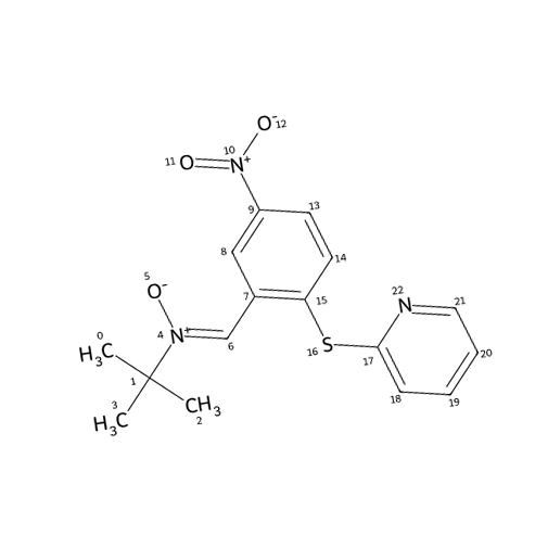 CC(C)(C)[N+]([O-])=Cc1cc([N+](=O)[O-])ccc1Sc1ccccn1